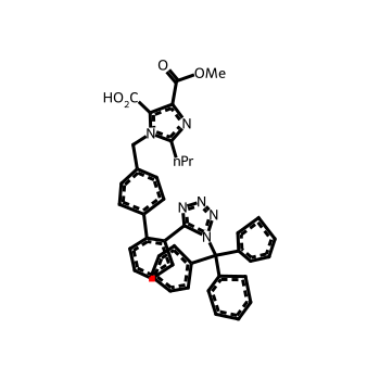 CCCc1nc(C(=O)OC)c(C(=O)O)n1Cc1ccc(-c2ccccc2-c2nnnn2C(c2ccccc2)(c2ccccc2)c2ccccc2)cc1